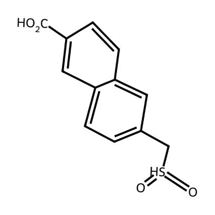 O=C(O)c1ccc2cc(C[SH](=O)=O)ccc2c1